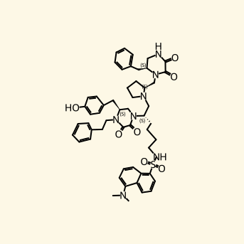 CN(C)c1cccc2c(S(=O)(=O)NCCCC[C@@H](CN3CCC[C@H]3CN3C(=O)C(=O)NC[C@@H]3Cc3ccccc3)N3C[C@H](Cc4ccc(O)cc4)N(CCc4ccccc4)C(=O)C3=O)cccc12